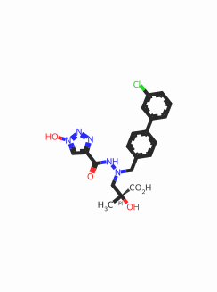 C[C@@](O)(CN(Cc1ccc(-c2cccc(Cl)c2)cc1)NC(=O)c1cn(O)nn1)C(=O)O